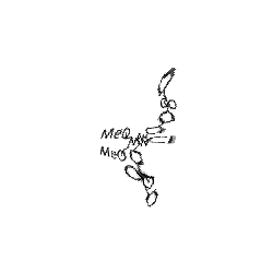 COCCN(CCOC)c1nc(-c2ccc(-c3ccc(C(=O)OCc4ccccc4)cc3)cc2)c(Cl)nc1-c1ccc(C(=O)OCc2ccccc2)cc1